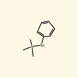 C[Si](C)(C)[Sn][c]1ccccc1